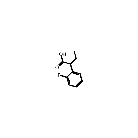 CCC(C(=O)O)c1ccccc1F